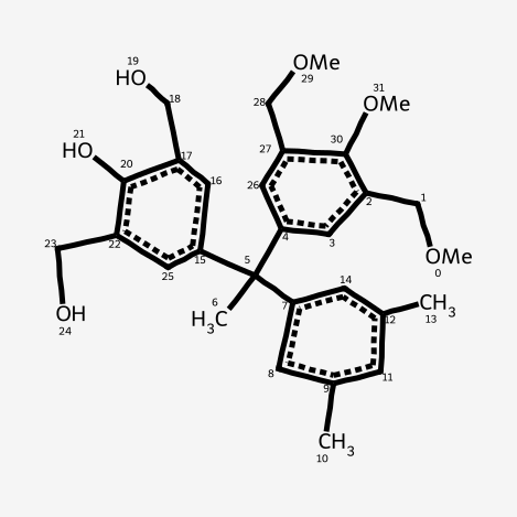 COCc1cc(C(C)(c2cc(C)cc(C)c2)c2cc(CO)c(O)c(CO)c2)cc(COC)c1OC